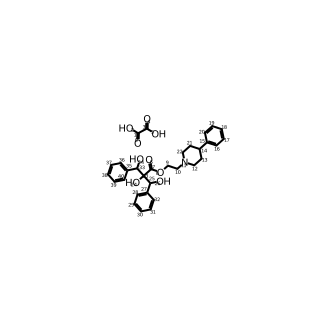 O=C(O)C(=O)O.O=C(OCCN1CCC(c2ccccc2)CC1)C(O)(C(O)c1ccccc1)C(O)c1ccccc1